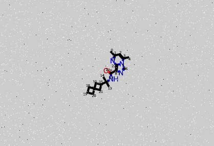 Cc1cc(C)n2cnc(C(=O)NC(C)(C)C3CC4(CCC4)C3)c2n1